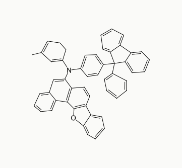 CC1=CCCC(N(c2ccc(C3(c4ccccc4)c4ccccc4-c4ccccc43)cc2)c2cc3ccccc3c3c2ccc2c4ccccc4oc23)=C1